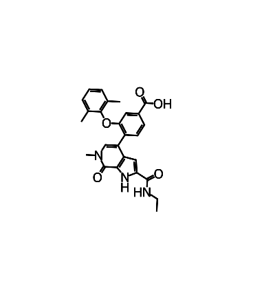 CCNC(=O)c1cc2c(-c3ccc(C(=O)O)cc3Oc3c(C)cccc3C)cn(C)c(=O)c2[nH]1